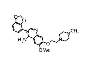 COc1cc2c(cc1OCCN1CCN(C)CC1)N=CN(c1cccc3c1OCO3)C2N